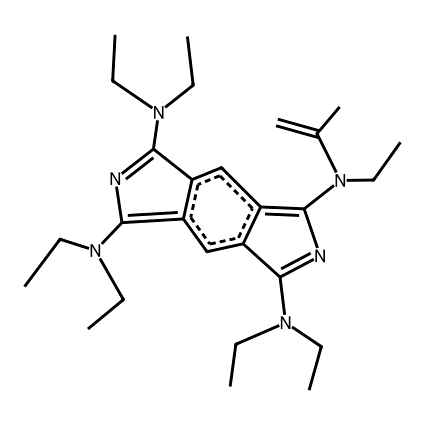 C=C(C)N(CC)C1=c2cc3c(cc2C(N(CC)CC)=N1)=C(N(CC)CC)N=C3N(CC)CC